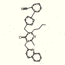 CCCCc1nc(C)n(Cc2ccc3ccccc3n2)c(=O)c1Cc1ccc(-c2ccccc2C#N)cc1